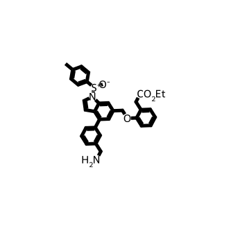 CCOC(=O)Cc1ccccc1OCc1cc(-c2cccc(CN)c2)c2ccn([S+]([O-])c3ccc(C)cc3)c2c1